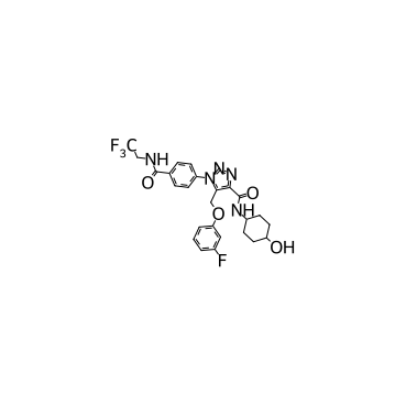 O=C(NCC(F)(F)F)c1ccc(-n2nnc(C(=O)NC3CCC(O)CC3)c2COc2cccc(F)c2)cc1